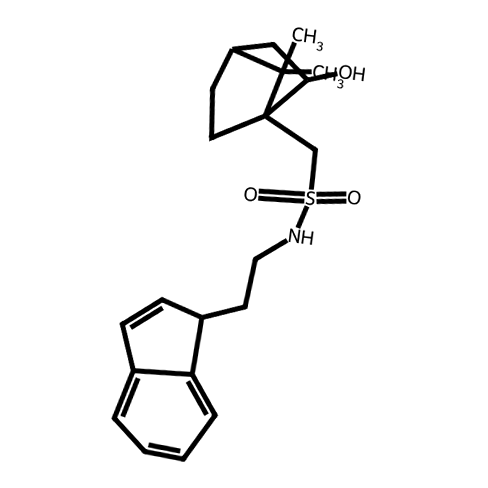 CC1(C)C2CCC1(CS(=O)(=O)NCCC1C=Cc3ccccc31)C(O)C2